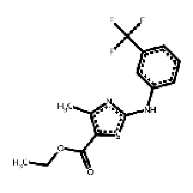 CCOC(=O)c1sc(Nc2cccc(C(F)(F)F)c2)nc1C